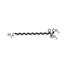 C=CN(C)C(=O)CCCCCCCCCCCCCCCCC